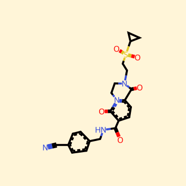 N#Cc1ccc(CNC(=O)c2ccc3n(c2=O)CCN(CCS(=O)(=O)C2CC2)C3=O)cc1